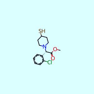 COC(=O)[C@H](c1ccccc1Cl)N1CCC(S)CC1